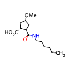 C=CCCCCNC(=O)[C@@H]1C[C@@H](OC)C[C@H]1C(=O)O